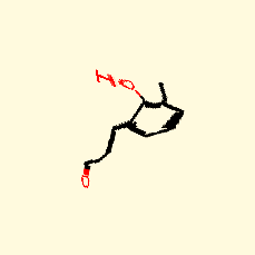 Cc1cccc(/C=C/C=O)c1O